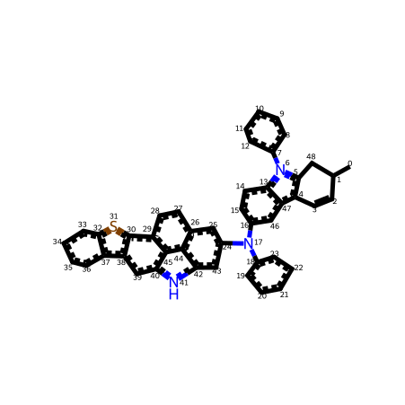 CC1C=Cc2c(n(-c3ccccc3)c3ccc(N(c4ccccc4)c4cc5ccc6c7sc8ccccc8c7cc7[nH]c(c4)c5c76)cc23)C1